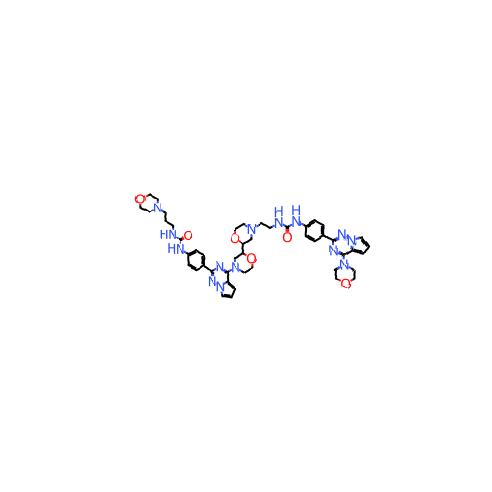 O=C(NCCCN1CCOCC1)Nc1ccc(-c2nc(N3CCOC(C4CN(CCNC(=O)Nc5ccc(-c6nc(N7CCOCC7)c7cccn7n6)cc5)CCO4)C3)c3cccn3n2)cc1